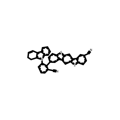 N#Cc1ccc2sc3cc4c(cc3c2c1)sc1ccc(-c2c(C#N)cccc2-n2c3c(c5ccccc52)C=CCC3)cc14